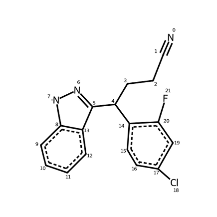 N#CCCC(C1=N[N]c2ccccc21)c1ccc(Cl)cc1F